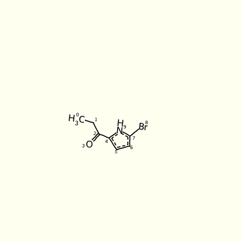 CCC(=O)c1ccc(Br)[nH]1